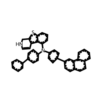 C1=Cc2c(sc3cccc(N(c4ccc(-c5ccccc5)cc4)c4ccc(-c5ccc6ccc7ccccc7c6c5)cc4)c23)CN1